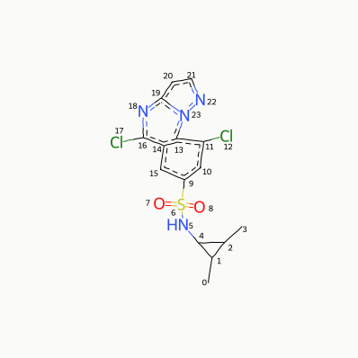 CC1C(C)C1NS(=O)(=O)c1cc(Cl)c2c(c1)c(Cl)nc1ccnn12